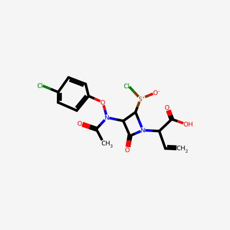 C=CC(C(=O)O)N1C(=O)C(N(Oc2ccc(Cl)cc2)C(C)=O)C1[S+]([O-])Cl